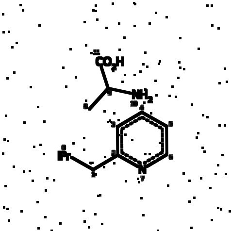 CC(C)Cc1ccccn1.CC(N)C(=O)O